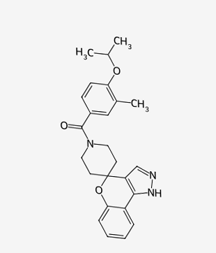 Cc1cc(C(=O)N2CCC3(CC2)Oc2ccccc2-c2[nH]ncc23)ccc1OC(C)C